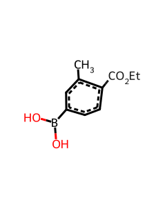 CCOC(=O)c1ccc(B(O)O)cc1C